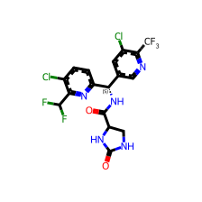 O=C1NCC(C(=O)N[C@@H](c2cnc(C(F)(F)F)c(Cl)c2)c2ccc(Cl)c(C(F)F)n2)N1